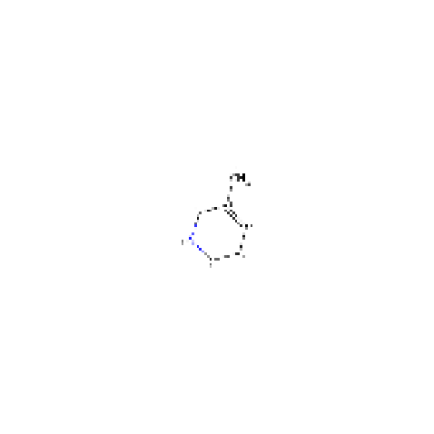 CC1=CCC[N]C1